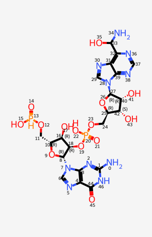 Nc1nc2c(ncn2[C@@H]2O[C@H](CO[PH](=O)O)[C@@H](O)[C@H]2OP(=O)(O)OC[C@H]2O[C@@H](n3cnc4c(C(N)O)ncnc43)[C@H](O)[C@@H]2O)c(=O)[nH]1